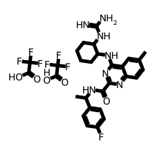 Cc1ccc2nc(C(=O)NC(C)c3ccc(F)cc3)nc(NC3CCCCC3NC(=N)N)c2c1.O=C(O)C(F)(F)F.O=C(O)C(F)(F)F